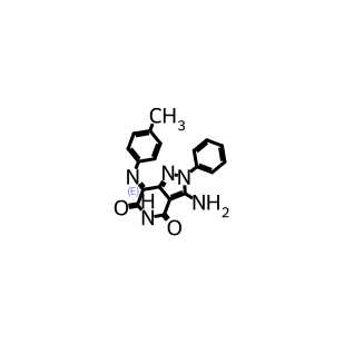 Cc1ccc(/N=C2/C(=O)NC(=O)c3c2nn(-c2ccccc2)c3N)cc1